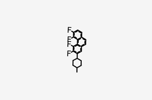 CC1CCC(c2cc3ccc4ccc(F)c(F)c4c3c(F)c2F)CC1